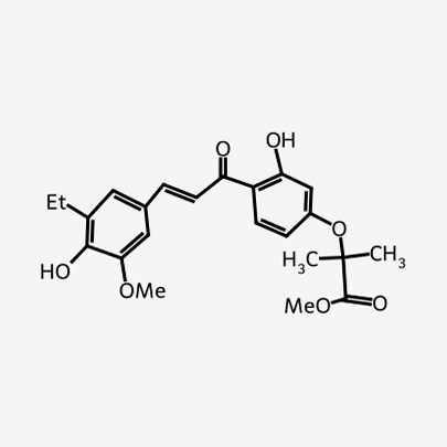 CCc1cc(/C=C/C(=O)c2ccc(OC(C)(C)C(=O)OC)cc2O)cc(OC)c1O